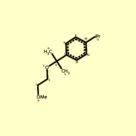 COCCOC(C)(C)c1ccc(C(C)C)cc1